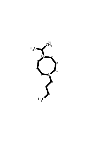 CCCCN1CCCN(C(C)C)CCC1